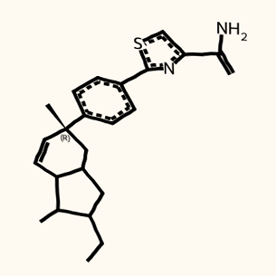 C=C(N)c1csc(-c2ccc([C@@]3(C)C=CC4C(CC(CC)C4C)C3)cc2)n1